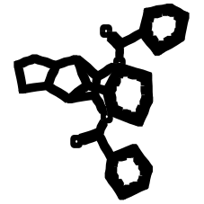 O=C(OC1C(OC(=O)c2ccccc2)C2C3CCCC3C1C2c1ccccc1)c1ccccc1